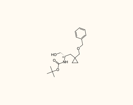 CC(C)(C)OC(=O)N[C@H](CO)CC1(COCc2ccccc2)CC1